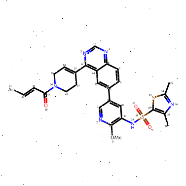 COc1ncc(-c2ccc3ncnc(C4=CCN(C(=O)/C=C/C(C)=O)CC4)c3c2)cc1NS(=O)(=O)c1sc(C)nc1C